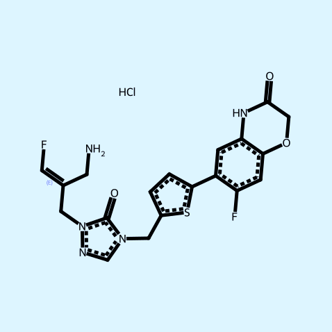 Cl.NC/C(=C\F)Cn1ncn(Cc2ccc(-c3cc4c(cc3F)OCC(=O)N4)s2)c1=O